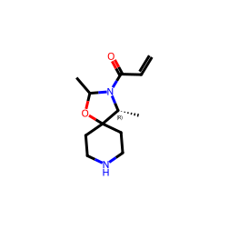 C=CC(=O)N1C(C)OC2(CCNCC2)[C@H]1C